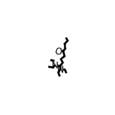 CCCCC(=O)CCCC(N(CC)CC)N(CC)CC